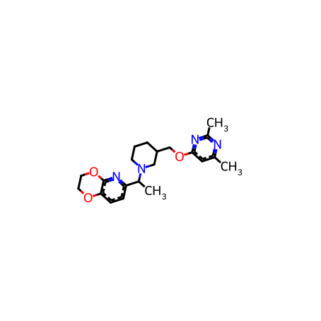 Cc1cc(OCC2CCCN(C(C)c3ccc4c(n3)OCCO4)C2)nc(C)n1